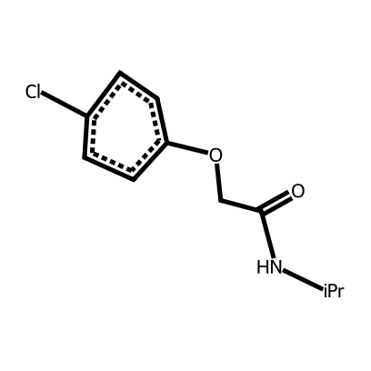 CC(C)NC(=O)COc1ccc(Cl)cc1